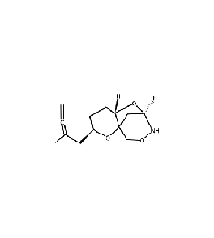 C=C=C(C)C[C@H]1CC[C@@H]2O[C@@H]3CC2(CON3)O1